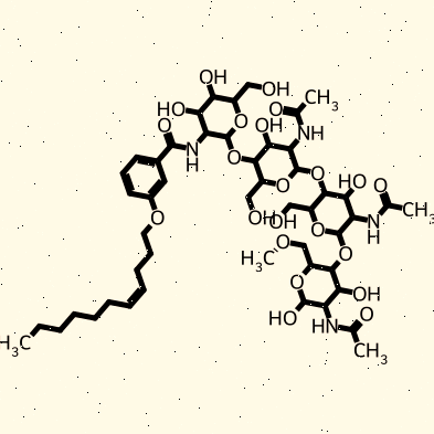 CCCCCC/C=C\CCCOc1cccc(C(=O)NC2C(OC3C(CO)OC(OC4C(CO)OC(OC5C(COC)OC(O)C(NC(C)=O)C5O)C(NC(C)=O)C4O)C(NC(C)=O)C3O)OC(CO)C(O)C2O)c1